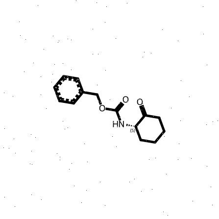 O=C(N[C@H]1CCCCC1=O)OCc1ccccc1